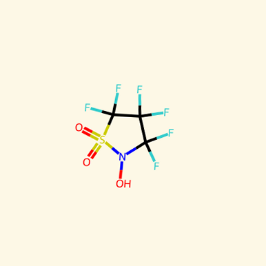 O=S1(=O)N(O)C(F)(F)C(F)(F)C1(F)F